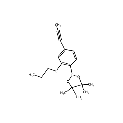 CC#Cc1ccc(B2OC(C)(C)C(C)(C)O2)c(OCCC)c1